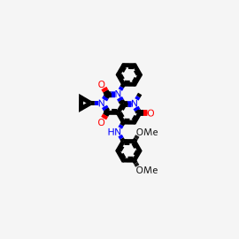 COc1ccc(Nc2cc(=O)n(C)c3c2c(=O)n(C2CC2)c(=O)n3-c2ccccc2)c(OC)c1